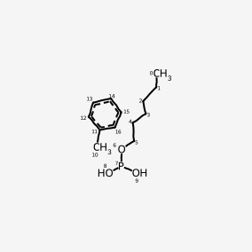 CCCCCCOP(O)O.Cc1ccccc1